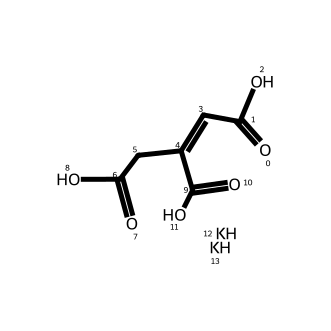 O=C(O)C=C(CC(=O)O)C(=O)O.[KH].[KH]